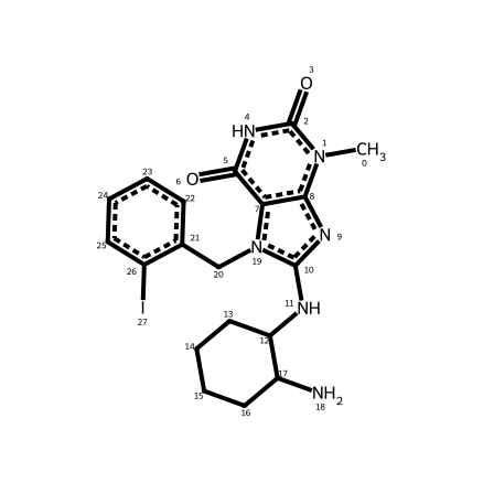 Cn1c(=O)[nH]c(=O)c2c1nc(NC1CCCCC1N)n2Cc1ccccc1I